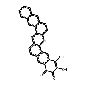 O=C1C(=O)c2cc3ccc4nc5c(ccc6cc7ccccc7cc65)nc4c3cc2C(O)=C1O